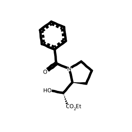 CCOC(=O)[C@H](O)[C@@H]1CCCN1C(=O)c1ccccc1